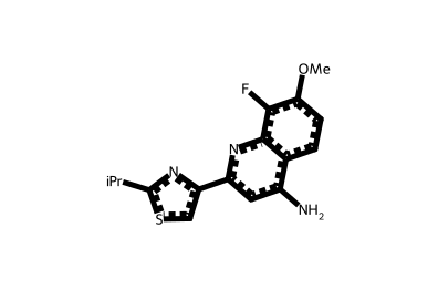 COc1ccc2c(N)cc(-c3csc(C(C)C)n3)nc2c1F